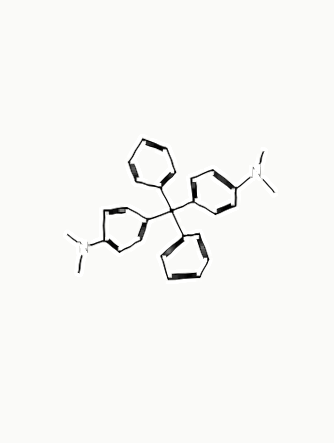 CN(C)c1ccc(C(c2ccccc2)(c2ccccc2)c2ccc(N(C)C)cc2)cc1